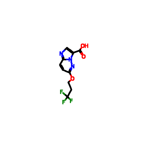 O=C(O)c1cnc2ccc(OCCC(F)(F)F)nn12